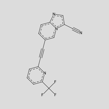 N#Cc1cnc2ccc(C#Cc3cccc(C(F)(F)F)n3)cn12